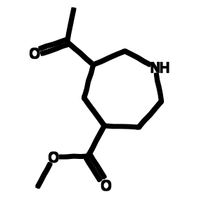 COC(=O)C1CCNCC(C(C)=O)C1